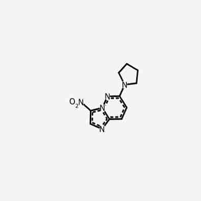 O=[N+]([O-])c1cnc2ccc(N3CCCC3)nn12